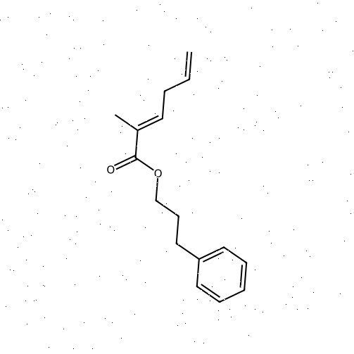 C=CCC=C(C)C(=O)OCCCc1ccccc1